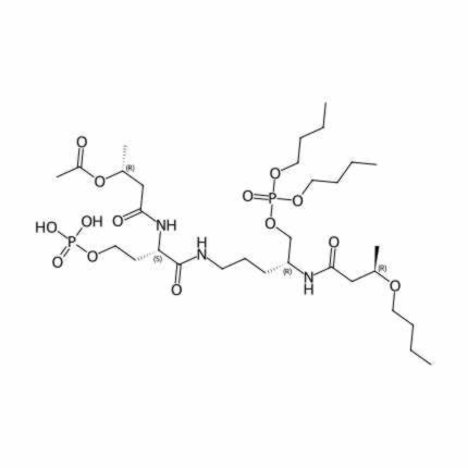 CCCCO[C@H](C)CC(=O)N[C@H](CCCNC(=O)[C@H](CCOP(=O)(O)O)NC(=O)C[C@@H](C)OC(C)=O)COP(=O)(OCCCC)OCCCC